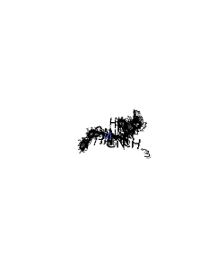 CN(CCCN/C(=N/CCCOc1cccc(CN2CCCCC2)c1)NC#N)CCN(Cc1ccc(F)cc1)c1ccccn1